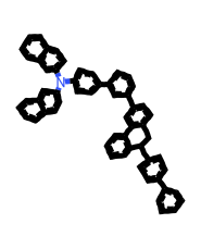 c1ccc(-c2ccc(C3Cc4ccc(-c5cccc(-c6ccc(N(c7ccc8ccccc8c7)c7ccc8ccccc8c7)cc6)c5)cc4-c4ccccc43)cc2)cc1